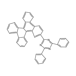 c1ccc(-c2nc(-c3ccccc3)nc(-c3ccc4c5ccccc5c5c6ccccc6c6ccccc6c5c4c3)n2)cc1